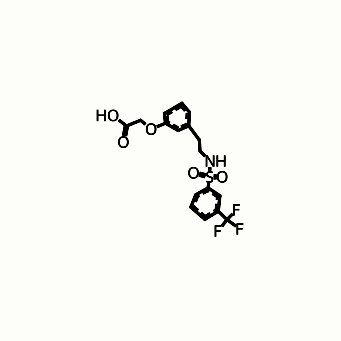 O=C(O)COc1cccc(CCNS(=O)(=O)c2cccc(C(F)(F)F)c2)c1